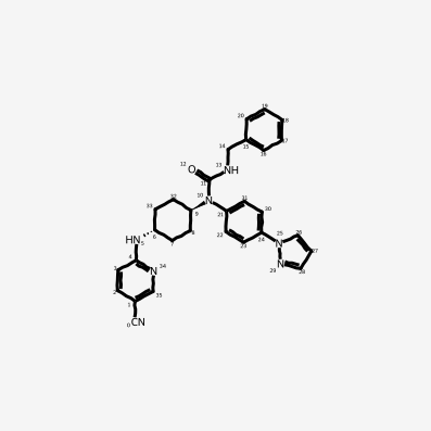 N#Cc1ccc(N[C@H]2CC[C@H](N(C(=O)NCc3ccccc3)c3ccc(-n4cccn4)cc3)CC2)nc1